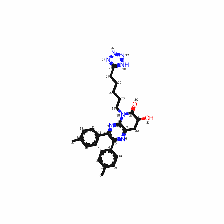 Cc1ccc(-c2nc3c(nc2-c2ccc(C)cc2)N(CCCCCc2nnn[nH]2)C(=O)C(O)C3)cc1